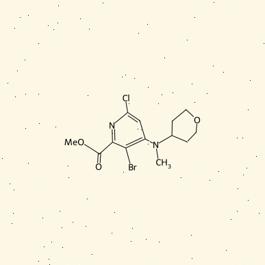 COC(=O)c1nc(Cl)cc(N(C)C2CCOCC2)c1Br